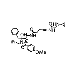 COc1ccc(S(=O)(=O)N(CC(C)C)C(O)(CCNC(=O)CCC#CNC(=O)CNC2CC2)Cc2ccccc2)cc1